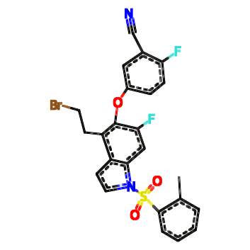 Cc1ccccc1S(=O)(=O)n1ccc2c(CCBr)c(Oc3ccc(F)c(C#N)c3)c(F)cc21